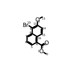 COC(=O)c1cccc2c(Br)c(OC)ccc12